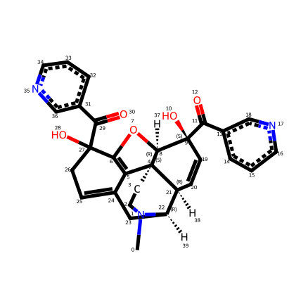 CN1CC[C@]23C4=C5O[C@H]2[C@](O)(C(=O)c2cccnc2)C=C[C@H]3[C@H]1CC4=CCC5(O)C(=O)c1cccnc1